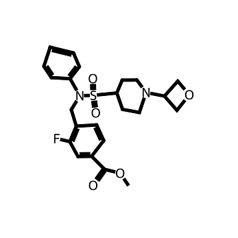 COC(=O)c1ccc(CN(c2ccccc2)S(=O)(=O)C2CCN(C3COC3)CC2)c(F)c1